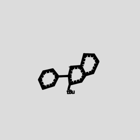 CC(C)(C)c1cc2ccccc2[c]c1-c1ccccc1